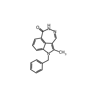 Cc1c2c3c(cccc3n1Cc1ccccc1)C(=O)NN=C2